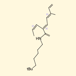 C=C/C(C)=C/C=C(\C=C/C)C(=C)NCCCCCC(C)(C)C